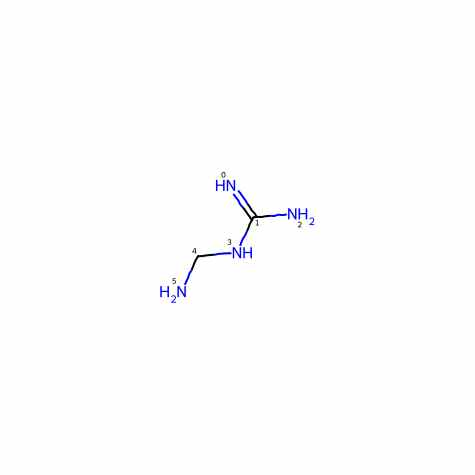 N=C(N)NCN